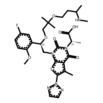 CNC(C)CCOC(C)(C)CO[C@@H](Cn1c(=O)n([C@@H](C)C(=O)O)c(=O)c2c(C)c(-n3nccn3)sc21)c1cc(F)ccc1OC